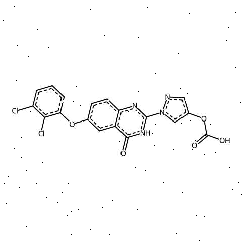 O=C(O)Oc1cnn(-c2nc3ccc(Oc4cccc(Cl)c4Cl)cc3c(=O)[nH]2)c1